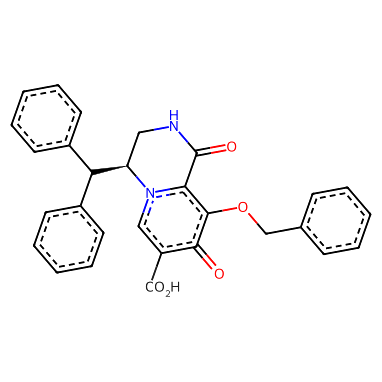 O=C(O)c1cn2c(c(OCc3ccccc3)c1=O)C(=O)NC[C@@H]2C(c1ccccc1)c1ccccc1